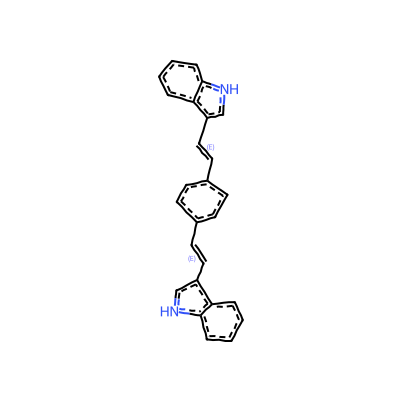 C(=C\c1c[nH]c2ccccc12)/c1ccc(/C=C/c2c[nH]c3ccccc23)cc1